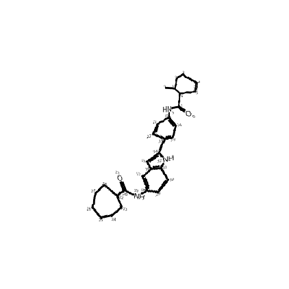 CC1CCCCC1C(=O)Nc1ccc(-c2cc3cc(NC(=O)C4CCCCCC4)ccc3[nH]2)cc1